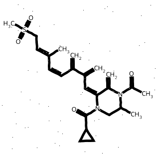 C=C(/C=C\C(C)=C\CS(C)(=O)=O)C(=C)/C=C1\C(=C)N(C(C)=O)C(C)CN1C(=O)C1CC1